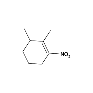 CC1=C([N+](=O)[O-])CCCC1C